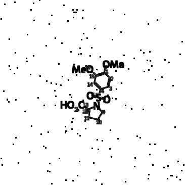 COc1ccc(S(=O)(=O)N2CCC[C@H]2C(=O)O)cc1OC